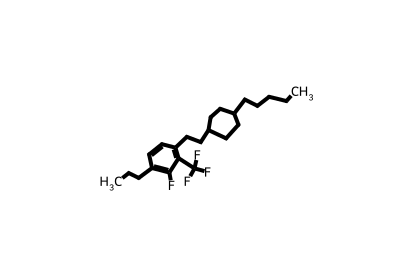 CCCCCC1CCC(CCc2ccc(CCC)c(F)c2C(F)(F)F)CC1